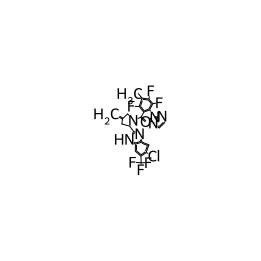 C=C1CC(c2nc3cc(Cl)c(C(F)(F)F)cc3[nH]2)N(C(=O)c2c(F)c(C)c(F)c(F)c2-n2nccn2)C1